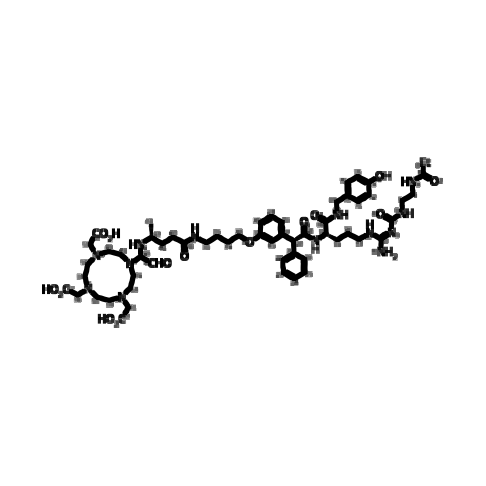 CCC(=O)NCCNC(=O)/N=C(/N)NCCC[C@@H](NC(=O)[C@@H](c1ccccc1)c1cccc(OCCCCNC(=O)CC[C@H](C)NC(C=O)N2CCN(CC(=O)O)CCN(CC(=O)O)CCN(CC(=O)O)CC2)c1)C(=O)NCc1ccc(O)cc1